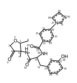 CC1OCC(=O)C1(C)NC(=O)C(Cc1cccc(O)c1)NC(=O)c1ccc(-n2ccnc2)cc1